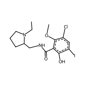 CCN1CCCC1CNC(=O)c1c(O)c(I)cc(Cl)c1OC